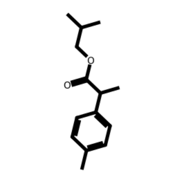 Cc1ccc(C(C)C(=O)OCC(C)C)cc1